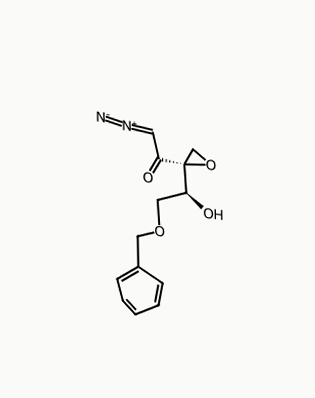 [N-]=[N+]=CC(=O)[C@]1([C@@H](O)COCc2ccccc2)CO1